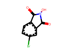 O=C1c2ccc(Br)cc2C(=O)N1O